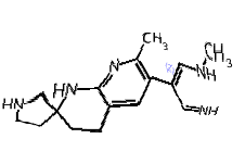 CN/C=C(\C=N)c1cc2c(nc1C)NC1(CCNC1)CC2